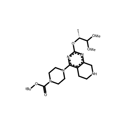 COC(OC)[C@@H](C)Oc1nc2c(c(N3CCN(C(=O)OC(C)(C)C)CC3)n1)CCNC2